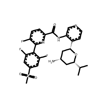 CC(C)[C@@H]1C[C@H](N)C[C@H](c2ccncc2NC(=O)c2ccc(F)c(-c3c(F)cc(S(C)(=O)=O)cc3F)n2)O1